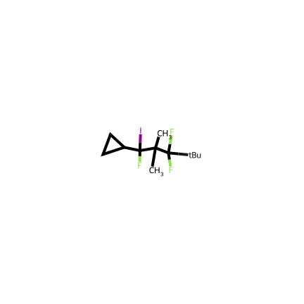 CC(C)(C)C(F)(F)C(C)(C)C(F)(I)C1CC1